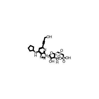 O=P(O)(O)CS(=O)(=O)C[C@H]1O[C@@H](n2nnc3c(NC4CCCC4)cc(C#CCO)nc32)[C@H](O)[C@@H]1O